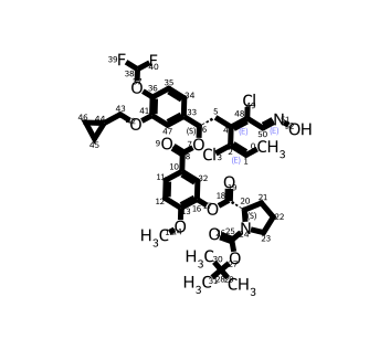 C\C=C(Cl)/C(C[C@H](OC(=O)c1ccc(OC)c(OC(=O)[C@@H]2CCCN2C(=O)OC(C)(C)C)c1)c1ccc(OC(F)F)c(OCC2CC2)c1)=C(Cl)\C=N\O